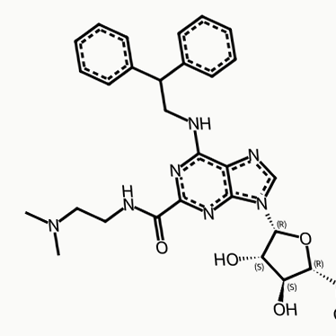 CN(C)CCNC(=O)c1nc(NCC(c2ccccc2)c2ccccc2)c2ncn([C@@H]3O[C@H](CO)[C@@H](O)[C@@H]3O)c2n1